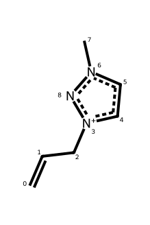 C=CC[n+]1ccn(C)n1